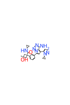 C[C@]1(O)C[C@@](C(=O)NC2CC2)(c2cccc(-c3cc(-c4ccnn4C4CC4)c4c(N)ncnn34)c2)C1